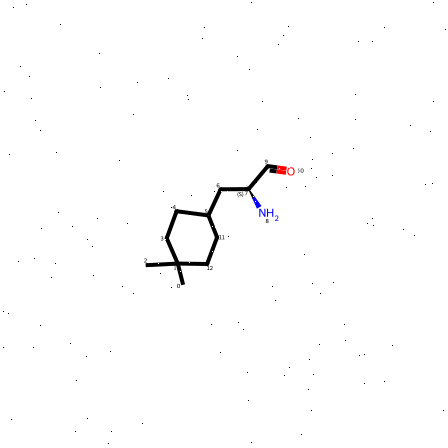 CC1(C)CCC(C[C@H](N)C=O)CC1